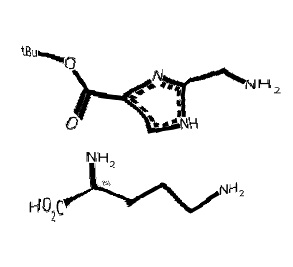 CC(C)(C)OC(=O)c1c[nH]c(CN)n1.NCCC[C@H](N)C(=O)O